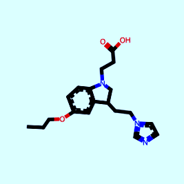 CCCOc1ccc2c(c1)C(CCn1ccnc1)CN2CCC(=O)O